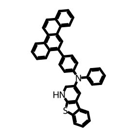 C1=C(N(c2ccccc2)c2ccc(-c3cc4c5ccccc5ccc4c4ccccc34)cc2)CNc2sc3ccccc3c21